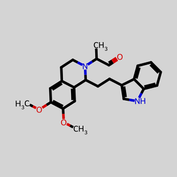 COc1cc2c(cc1OC)C(CCc1c[nH]c3ccccc13)N(C(C)C=O)CC2